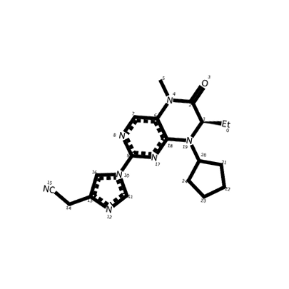 CC[C@@H]1C(=O)N(C)c2cnc(-n3cnc(CC#N)c3)nc2N1C1CCCC1